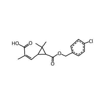 CC(=CC1C(C(=O)OCc2ccc(Cl)cc2)C1(C)C)C(=O)O